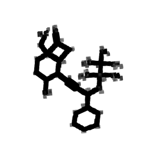 CCC12CCC(O)C(C#CC(O[Si](C)(C)C(C)(C)C)C3CCCCC3)C1CC2=O